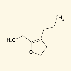 CCCC1=C(CC)OCC1